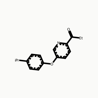 CCC(=O)c1ccc(Oc2ccc(C(C)C)cc2)cn1